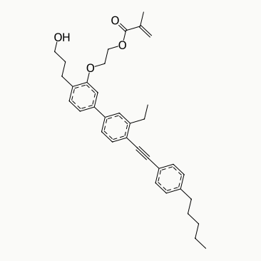 C=C(C)C(=O)OCCOc1cc(-c2ccc(C#Cc3ccc(CCCCC)cc3)c(CC)c2)ccc1CCCO